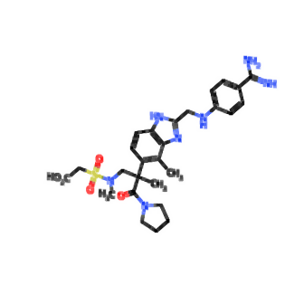 Cc1c(C(C)(CN(C)S(=O)(=O)CC(=O)O)C(=O)N2CCCC2)ccc2[nH]c(CNc3ccc(C(=N)N)cc3)nc12